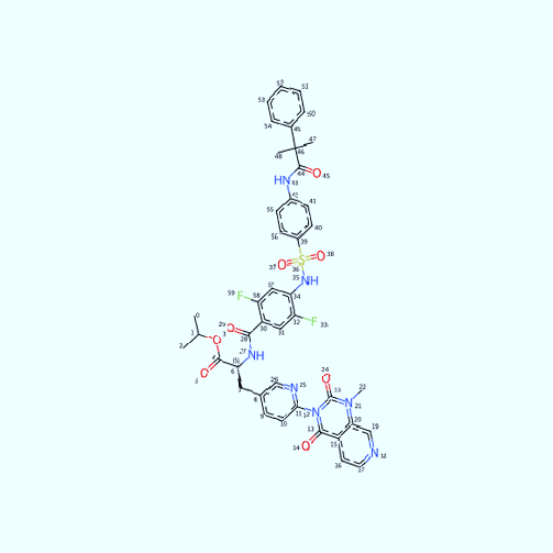 CC(C)OC(=O)[C@H](Cc1ccc(-n2c(=O)c3ccncc3n(C)c2=O)nc1)NC(=O)c1cc(F)c(NS(=O)(=O)c2ccc(NC(=O)C(C)(C)c3ccccc3)cc2)cc1F